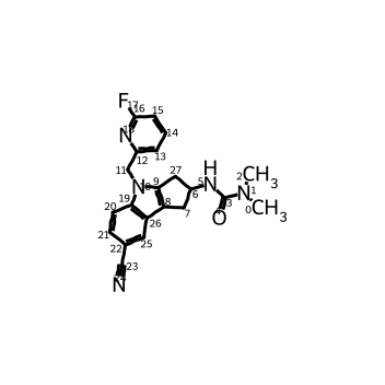 CN(C)C(=O)NC1Cc2c(n(Cc3cccc(F)n3)c3ccc(C#N)cc23)C1